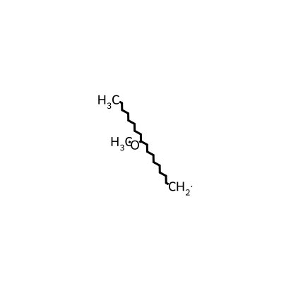 [CH2]CCCCCCCCC(CCCCCCCC)OC